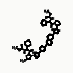 COC(=O)NC(C(=O)N1CCC[C@H]1c1ncc(-c2ccc3cc(-c4ccc(-c5cnc([C@@H]6C[C@@H](C)CN6C(=O)[C@@H](NC(=O)OC)C6CCOCC6)[nH]5)cc4)ccc3c2)[nH]1)c1ccccc1